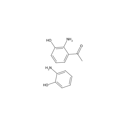 CC(=O)c1cccc(O)c1N.Nc1ccccc1O